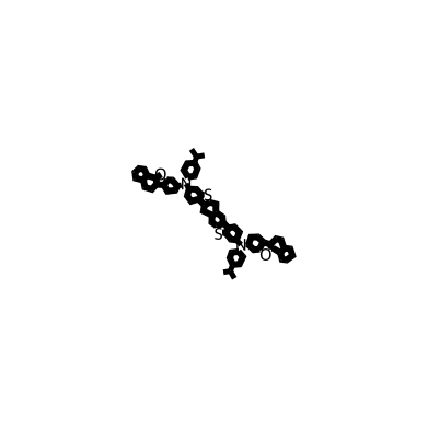 CC(C)c1ccc(N(c2ccc3c(c2)oc2c4ccccc4ccc32)c2ccc3c(c2)sc2cc4cc5c(cc4cc23)sc2cc(N(c3ccc(C(C)C)cc3)c3ccc4c(c3)oc3c6ccccc6ccc43)ccc25)cc1